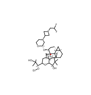 CCO[C@@H](C1C[C@@H](C)[C@H]2C(O1)[C@H](O)C(C)(C)[C@]2(C)CC[C@]12CCC[C@H]3C(C)(C)[C@@H](O[C@H]4CN(C5CN(CC(F)F)C5)CCO4)CC[C@@]31C2)C(C)(C)O